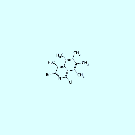 Cc1c(C)c(C)c2c(C)c(Br)nc(Cl)c2c1C